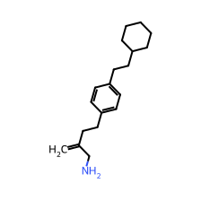 C=C(CN)CCc1ccc(CCC2CCCCC2)cc1